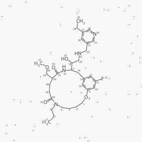 CCCN1CCCCOc2cc(F)cc(c2)CC(C(O)CNCc2cncc(CC)c2)NC(=O)C(COC)CCC1=O